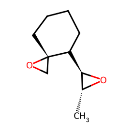 C[C@H]1O[C@@H]1C1CCCC[C@]12CO2